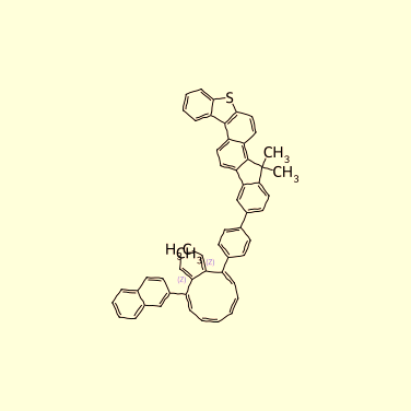 C/C=c1/c(-c2ccc(-c3ccc4c(c3)-c3ccc5c(ccc6sc7ccccc7c65)c3C4(C)C)cc2)ccccccc(-c2ccc3ccccc3c2)/c1=C/C